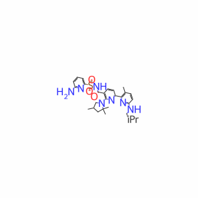 Cc1ccc(NCC(C)C)nc1-c1ccc(C(=O)NS(=O)(=O)c2cccc(N)n2)c(N2CC(C)CC2(C)C)n1